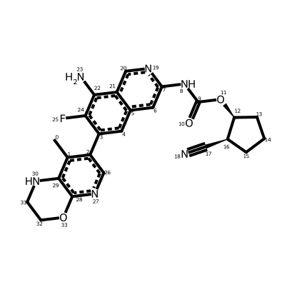 Cc1c(-c2cc3cc(NC(=O)O[C@H]4CCC[C@H]4C#N)ncc3c(N)c2F)cnc2c1NCCO2